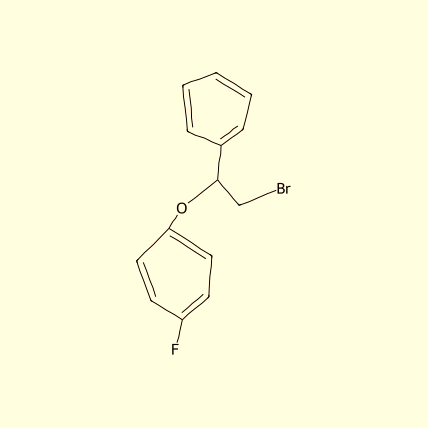 Fc1ccc(OC(CBr)c2ccccc2)cc1